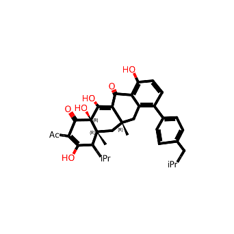 CC(=O)C1=C(O)C(C(C)C)[C@@]2(C)C[C@@]3(C)Cc4c(-c5ccc(CC(C)C)cc5)ccc(O)c4C(=O)C3=C(O)[C@@]2(O)C1=O